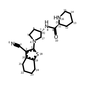 N#Cc1c(N2CC[C@H](NC(=O)[C@@H]3CCCCN3)C2)sc2c1CCCC2